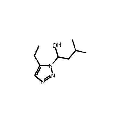 CCc1cnnn1C(O)CC(C)C